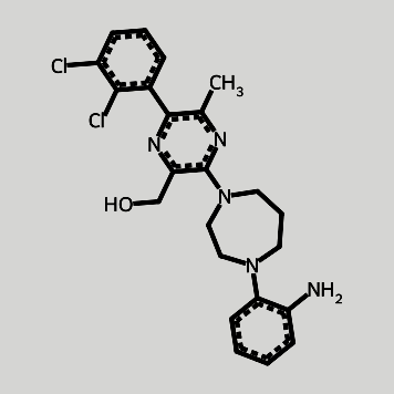 Cc1nc(N2CCCN(c3ccccc3N)CC2)c(CO)nc1-c1cccc(Cl)c1Cl